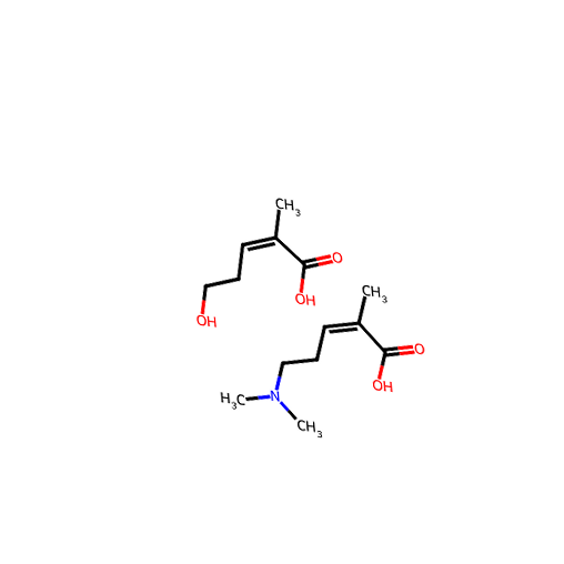 CC(=CCCN(C)C)C(=O)O.CC(=CCCO)C(=O)O